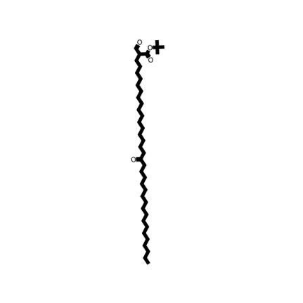 CCCCCCCCCCCCCCCCCC(=O)CCCCCCCCCCCCCCCCC(C=O)C(=O)OC(C)(C)C